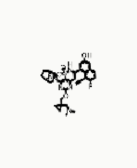 C#Cc1c(F)ccc2cc(O)cc(C3=Cc4nc(OCC5(CN(C)C)CC5)nc(N5CC6CCC(C5)N6)c4S(=O)(=O)N3)c12